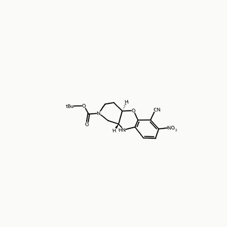 CC(C)(C)OC(=O)N1CC[C@H]2Oc3c(ccc([N+](=O)[O-])c3C#N)N[C@@H]2C1